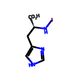 O=C(O)[C@@H](Cc1c[nH]cn1)NI